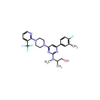 Cc1cc(-c2cc(N3CCN(c4ncccc4C(F)(F)F)CC3)nc(N(C)C(C)CO)n2)ccc1F